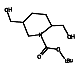 CC(C)(C)OC(=O)N1CC(CO)CCC1CO